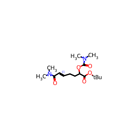 CN(C)C(=O)/C=C/CCC(OC(=O)N(C)C)C(=O)OC(C)(C)C